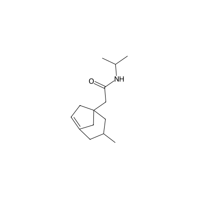 CC1CC2=CCC(CC(=O)NC(C)C)(C2)C1